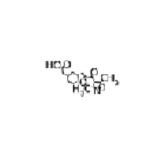 Cc1noc(C)c1C(=O)c1cc2cc(CC(=O)O)ccc2o1